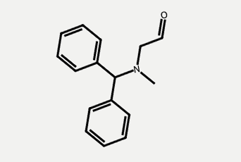 CN(CC=O)C(c1ccccc1)c1ccccc1